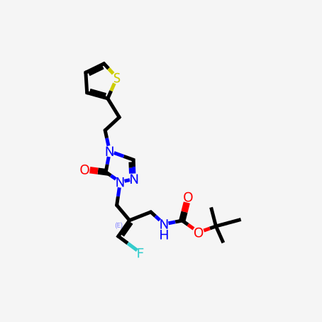 CC(C)(C)OC(=O)NC/C(=C\F)Cn1ncn(CCc2cccs2)c1=O